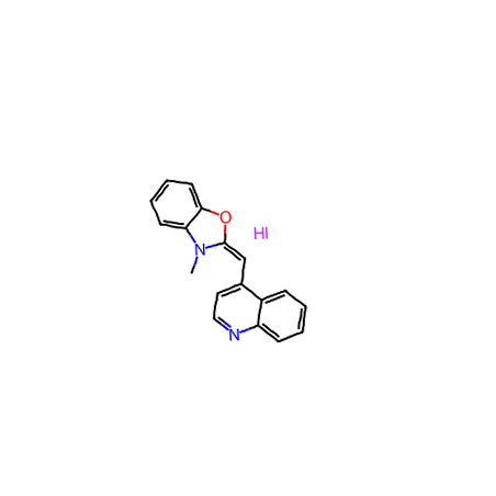 CN1C(=Cc2ccnc3ccccc23)Oc2ccccc21.I